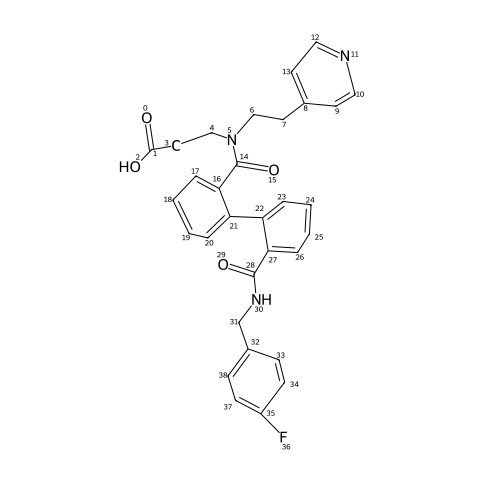 O=C(O)CCN(CCc1ccncc1)C(=O)c1ccccc1-c1ccccc1C(=O)NCc1ccc(F)cc1